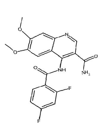 COc1cc2ncc(C(N)=O)c(NC(=O)c3ccc(F)cc3F)c2cc1OC